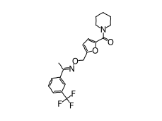 C/C(=N\OCc1ccc(C(=O)N2CCCCC2)o1)c1cccc(C(F)(F)F)c1